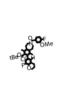 COc1cc(C(=O)N2CCc3c(C)c(-c4cc(F)c5c(c4C)CCCO5)c([C@H](OC(C)(C)C)C(=O)O)c(C)c3CC2)ccc1F